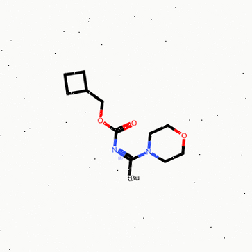 CC(C)(C)/C(=N/C(=O)OCC1CCC1)N1CCOCC1